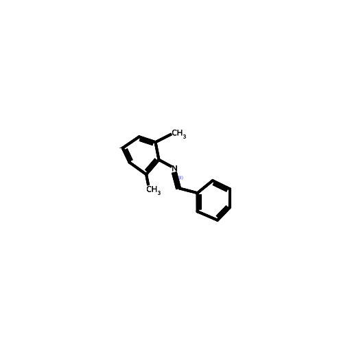 Cc1c[c]cc(C)c1/N=C/c1ccccc1